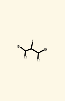 CCC(CC)C(F)C(CC)CC